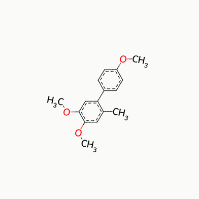 COc1ccc(-c2cc(OC)c(OC)cc2C)cc1